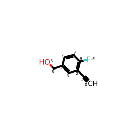 C#Cc1cc(CO)ccc1F